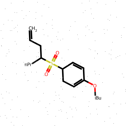 C=CCC(CCC)S(=O)(=O)C1C=CC(OC(C)CC)=CC1